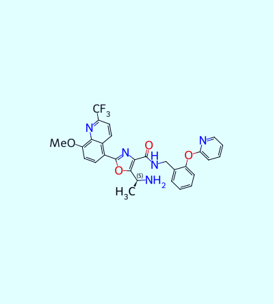 COc1ccc(-c2nc(C(=O)NCc3ccccc3Oc3ccccn3)c([C@H](C)N)o2)c2ccc(C(F)(F)F)nc12